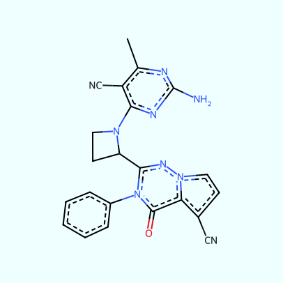 Cc1nc(N)nc(N2CCC2c2nn3ccc(C#N)c3c(=O)n2-c2ccccc2)c1C#N